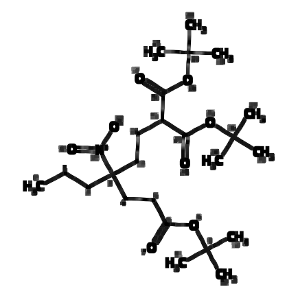 CCCC(CCC(=O)OC(C)(C)C)(CCC(C(=O)OC(C)(C)C)C(=O)OC(C)(C)C)[N+](=O)[O-]